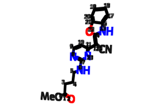 COC(=O)CCCNc1nccc(/C(C#N)=C2/Nc3ccccc3O2)n1